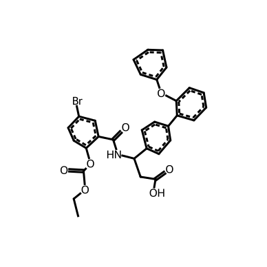 CCOC(=O)Oc1ccc(Br)cc1C(=O)NC(CC(=O)O)c1ccc(-c2ccccc2Oc2ccccc2)cc1